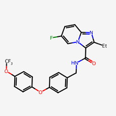 CCc1nc2ccc(F)cn2c1C(=O)NCc1ccc(Oc2ccc(OC(F)(F)F)cc2)cc1